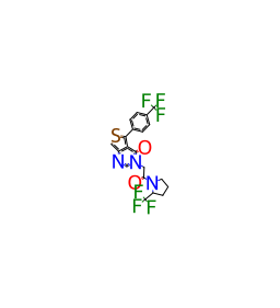 O=C(Cn1cnc2csc(-c3ccc(C(F)(F)F)cc3)c2c1=O)N1CCCC1C(F)(F)F